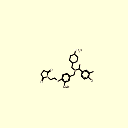 COc1cc(CN(CC2CCC(C(=O)O)CC2)C(C)c2ccc(Cl)c(C)c2)ccc1OCCN1C(=O)CCC1=O